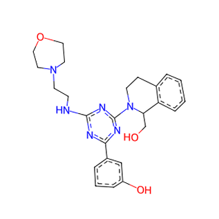 OCC1c2ccccc2CCN1c1nc(NCCN2CCOCC2)nc(-c2cccc(O)c2)n1